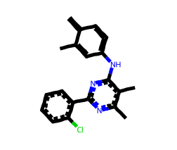 C=C1C=C=C(Nc2nc(-c3ccccc3Cl)nc(C)c2C)C=C1C